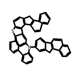 c1ccc(-c2ccccc2N(c2ccc3c(c2)Cc2c-3ccc3ccccc23)c2ccc3sc4ccc5c(c4c3c2)-c2ccc3ccccc3c2C5)cc1